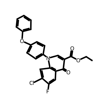 CCOC(=O)c1cn(-c2ccc(Oc3ccccc3)cc2)c2cc(Cl)c(F)cc2c1=O